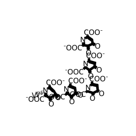 O=C([O-])C1=CC(=O)C(=O)C(C(=O)[O-])=N1.O=C([O-])C1=CC(=O)C(=O)C(C(=O)[O-])=N1.O=C([O-])C1=CC(=O)C(=O)C(C(=O)[O-])=N1.O=C([O-])C1=CC(=O)C(=O)C(C(=O)[O-])=N1.O=C([O-])C1=CC(=O)C(=O)C(C(=O)[O-])=N1.[V+5].[V+5]